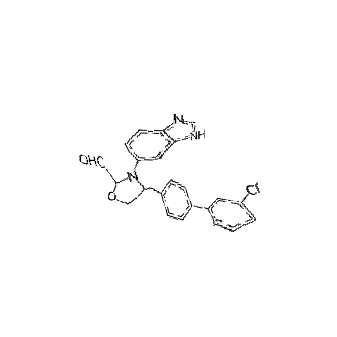 O=CC1OCC(c2ccc(-c3cccc(Cl)c3)cc2)N1c1ccc2nc[nH]c2c1